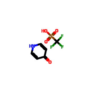 O=S(=O)(O)C(F)(F)F.O=c1cc[nH]cc1